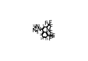 FC(F)(F)c1cc(-n2cncn2)c2cccc(C(F)(F)F)c2n1